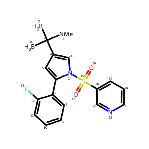 BC(B)(NC)c1cc(-c2ccccc2F)n(S(=O)(=O)c2cccnc2)c1